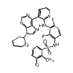 Cc1c(Cl)cccc1S(=O)(=O)Nc1ccc(F)c(Nc2ncccc2-c2ncnc3c2ncn3C2CCCCO2)c1F